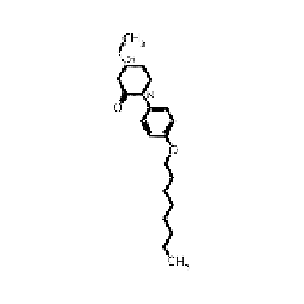 CCCCCCCCOc1ccc([C@@H]2CC[C@@H](CC)CC2=O)cc1